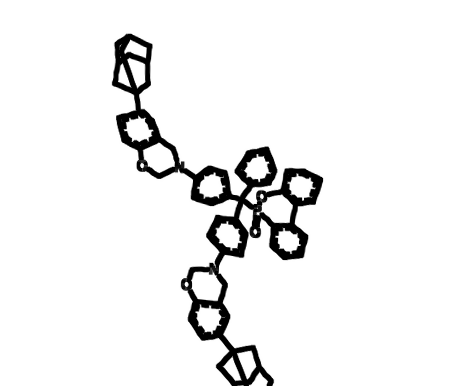 O=P1(C(c2ccccc2)(c2ccc(N3COc4ccc(C56CC7CC(CC(C7)C5)C6)cc4C3)cc2)c2ccc(N3COc4ccc(C56CC7CC(CC(C7)C5)C6)cc4C3)cc2)Oc2ccccc2-c2ccccc21